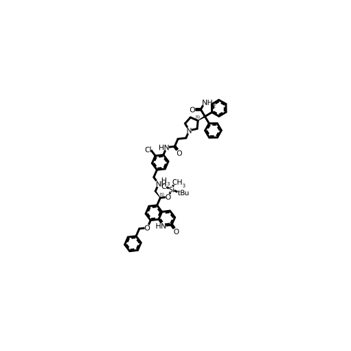 CC(C)(C)[Si](C)(C)O[C@H](CNCc1ccc(NC(=O)CCN2CC[C@@H](C(C(N)=O)(c3ccccc3)c3ccccc3)C2)c(Cl)c1)c1ccc(OCc2ccccc2)c2[nH]c(=O)ccc12